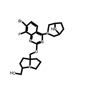 OCC1CCC2(COc3nc(N4CC5CCC(C4)N5)c4ccc(Br)c(F)c4n3)CCCN12